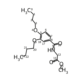 CCCCOc1ccc(C(=O)NCC(=O)OC)cc1OCCCC